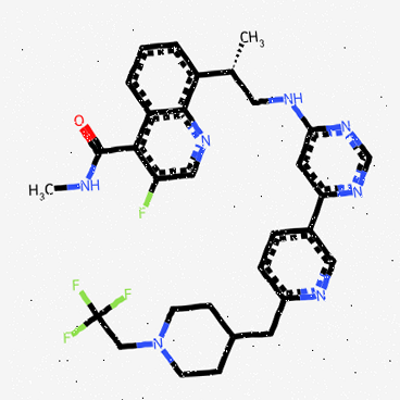 CNC(=O)c1c(F)cnc2c([C@H](C)CNc3cc(-c4ccc(CC5CCN(CC(F)(F)F)CC5)nc4)ncn3)cccc12